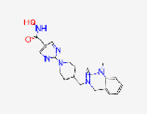 C=CN(C)c1ccccc1CNCC1CCN(c2ncc(C(=O)NO)cn2)CC1